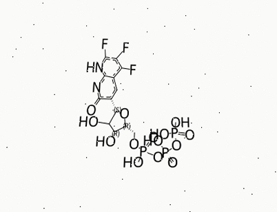 O=c1nc2[nH]c(F)c(F)c(F)c-2cc1[C@@H]1O[C@H](COP(=O)(O)OP(=O)(O)OP(=O)(O)O)[C@H](O)C1O